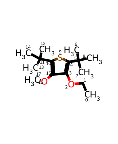 CCOc1c(C(C)(C)C)sc(C(C)(C)C)c1OC